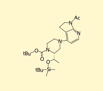 CC(=O)N1CCc2c(N3CCN(C(=O)OC(C)(C)C)[C@@H](C(C)O[Si](C)(C)C(C)(C)C)C3)ccnc21